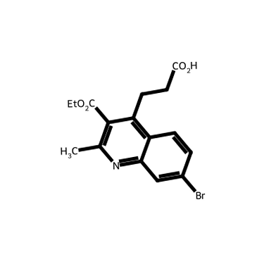 CCOC(=O)c1c(C)nc2cc(Br)ccc2c1CCC(=O)O